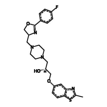 Cc1nc2cc(OC[C@H](O)CN3CCN(CC4COC(c5ccc(F)cc5)=N4)CC3)ccc2s1